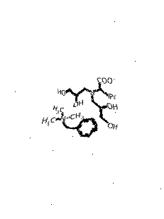 CC(C)C(C(=O)[O-])N(CC(O)CO)CC(O)CO.C[N+](C)(C)Cc1ccccc1